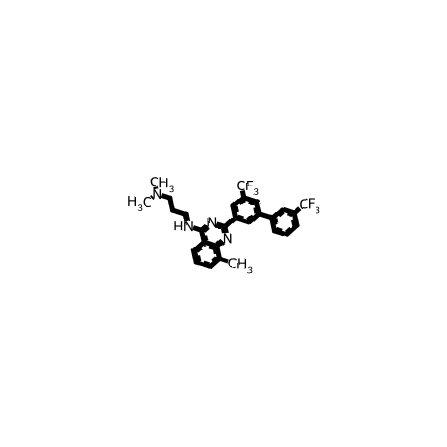 Cc1cccc2c(NCCCN(C)C)nc(-c3cc(-c4cccc(C(F)(F)F)c4)cc(C(F)(F)F)c3)nc12